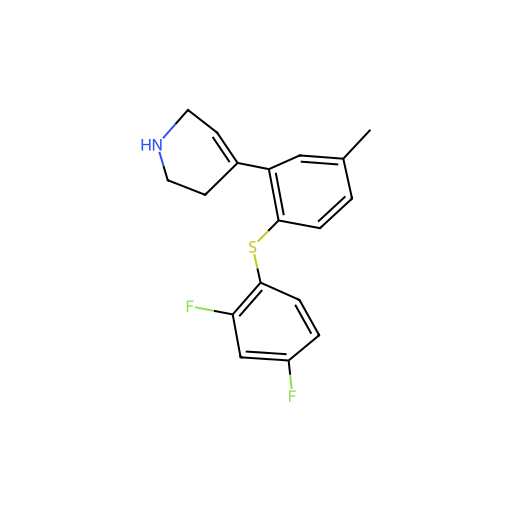 Cc1ccc(Sc2ccc(F)cc2F)c(C2=CCNCC2)c1